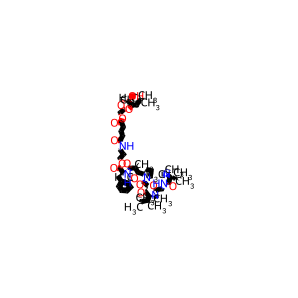 CC[C@H](C)[C@@H]([C@@H](CC(=O)N1CCC[C@H]1[C@H](OC)[C@@H](C)C(=O)N[C@@H](Cc1ccccc1)C(=O)OCCCNC(=O)CCCC(=O)OCC(OC)OC(CO)CC(C)(C)C)OC)N(C)C(=O)CNC(=O)[C@H](C(C)C)N(C)C